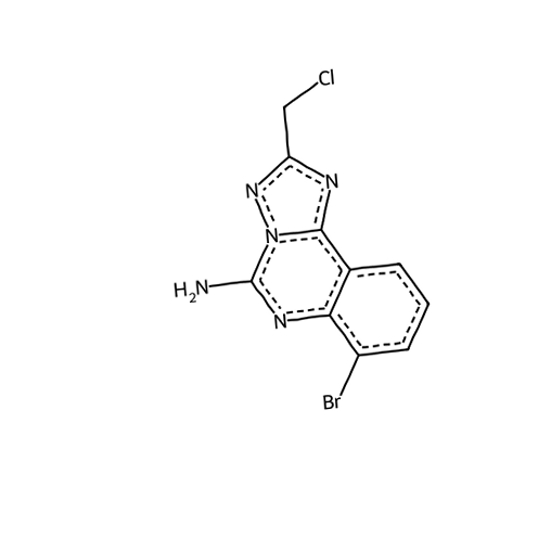 Nc1nc2c(Br)cccc2c2nc(CCl)nn12